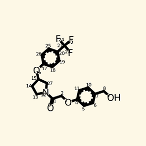 O=C(COc1ccc(CO)cc1)N1CCC(Oc2ccc(C(F)(F)F)cc2)C1